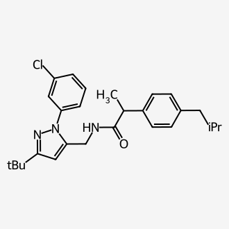 CC(C)Cc1ccc(C(C)C(=O)NCc2cc(C(C)(C)C)nn2-c2cccc(Cl)c2)cc1